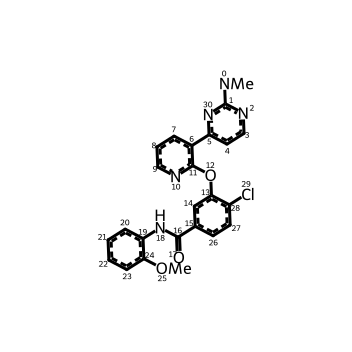 CNc1nccc(-c2cccnc2Oc2cc(C(=O)Nc3ccccc3OC)ccc2Cl)n1